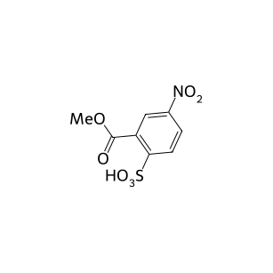 COC(=O)c1cc([N+](=O)[O-])ccc1S(=O)(=O)O